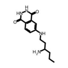 CCCC(N)CCNc1ccc2c(=O)[nH][nH]c(=O)c2c1